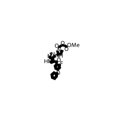 COC(=O)C1OC1C(=O)N1CCC(Nc2ncnc3[nH]cc(C(=O)c4ccc(Oc5ccccc5)cc4F)c23)C1